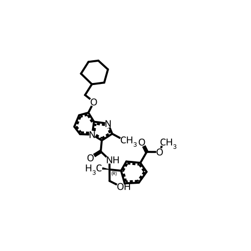 COC(=O)c1cccc([C@](C)(CO)NC(=O)c2c(C)nc3c(OCC4CCCCC4)cccn23)c1